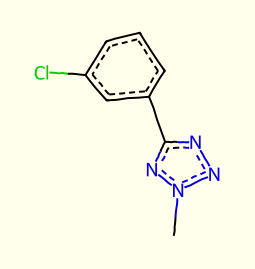 Cn1nnc(-c2cccc(Cl)c2)n1